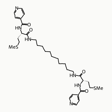 CSCC[C@H](NC(=O)c1ccncc1)C(=O)NCCCCCCCCCCCNC(=O)[C@H](CCSC)NC(=O)c1ccncc1